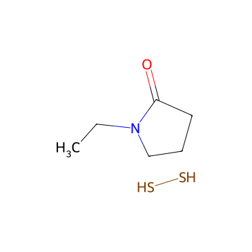 CCN1CCCC1=O.SS